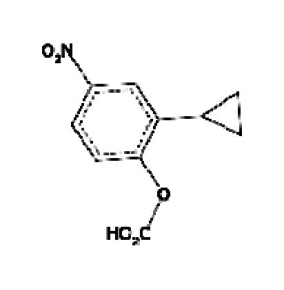 O=C(O)Oc1ccc([N+](=O)[O-])cc1C1CC1